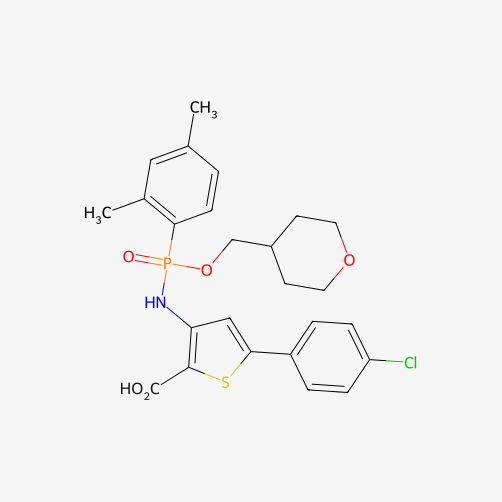 Cc1ccc(P(=O)(Nc2cc(-c3ccc(Cl)cc3)sc2C(=O)O)OCC2CCOCC2)c(C)c1